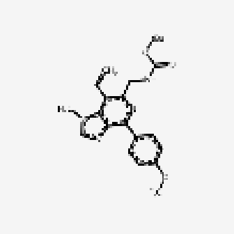 C=Cc1c(CNC(=O)OC(C)(C)C)nc(-c2ccc(OC(F)(F)F)cc2)c2ncn(C)c12